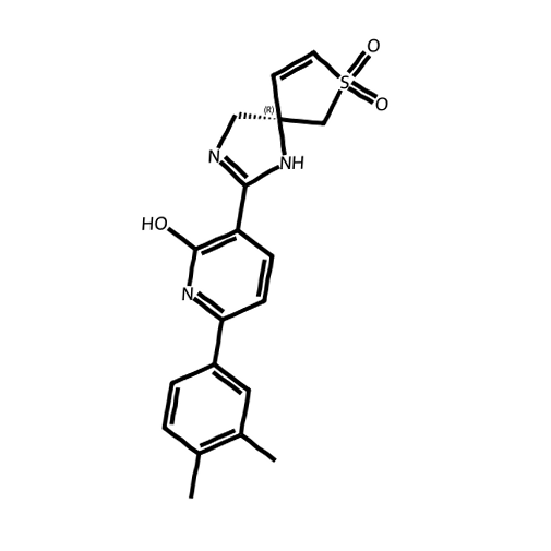 Cc1ccc(-c2ccc(C3=NC[C@@]4(C=CS(=O)(=O)C4)N3)c(O)n2)cc1C